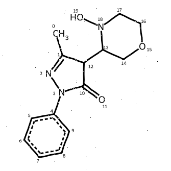 CC1=NN(c2ccccc2)C(=O)C1C1COCCN1O